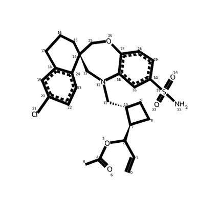 C=CC(OC(C)=O)[C@@H]1CC[C@H]1CN1C[C@@]2(CCCc3cc(Cl)ccc32)COc2ccc(S(N)(=O)=O)cc21